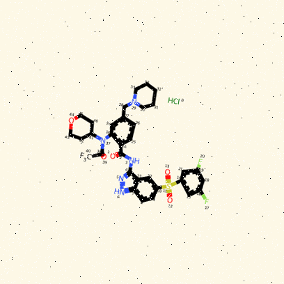 Cl.O=C(Nc1n[nH]c2ccc(S(=O)(=O)c3cc(F)cc(F)c3)cc12)c1ccc(CN2CCCCC2)cc1N(C(=O)C(F)(F)F)C1CCOCC1